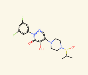 CC(C)[S+]([O-])N1CCN(c2cnn(-c3cc(F)cc(F)c3)c(=O)c2O)CC1